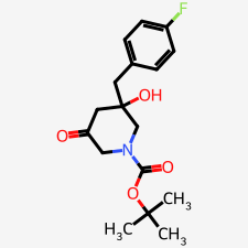 CC(C)(C)OC(=O)N1CC(=O)CC(O)(Cc2ccc(F)cc2)C1